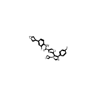 O=C(Nc1ccc(C2COC2)cc1F)c1coc(-c2c(-c3ccc(F)cc3)ncn2C2COC2)n1